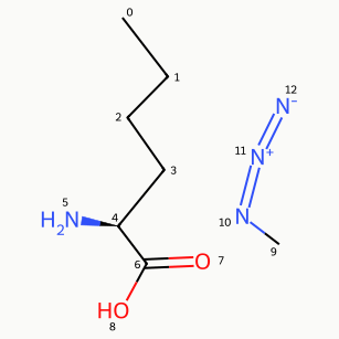 CCCC[C@H](N)C(=O)O.CN=[N+]=[N-]